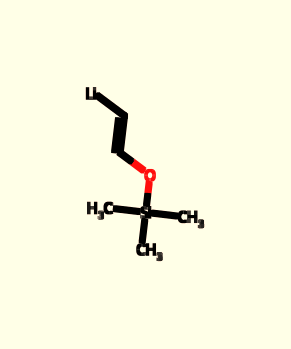 [Li][CH]=CO[Si](C)(C)C